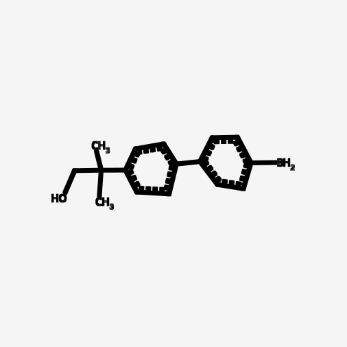 Bc1ccc(-c2ccc(C(C)(C)CO)cc2)cc1